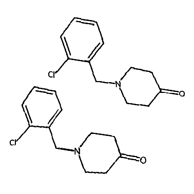 O=C1CCN(Cc2ccccc2Cl)CC1.O=C1CCN(Cc2ccccc2Cl)CC1